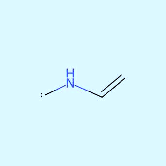 [CH]NC=C